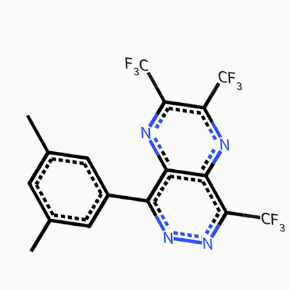 Cc1cc(C)cc(-c2nnc(C(F)(F)F)c3nc(C(F)(F)F)c(C(F)(F)F)nc23)c1